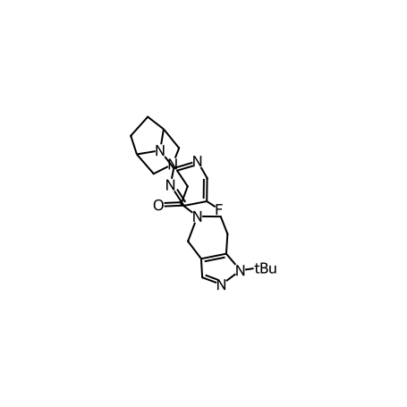 CC(C)(C)n1ncc2c1CCN(C(=O)CN1CC3CCC(C1)N3c1ncc(F)cn1)C2